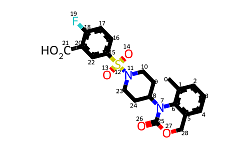 Cc1cccc2c1N(C1CCN(S(=O)(=O)c3ccc(F)c(C(=O)O)c3)CC1)C(=O)OC2